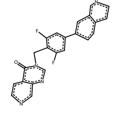 O=c1c2ccncc2ncn1Cc1c(F)cc(-c2ccc3ccncc3c2)cc1F